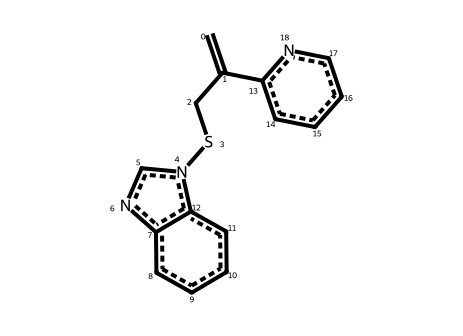 C=C(CSn1cnc2ccccc21)c1ccccn1